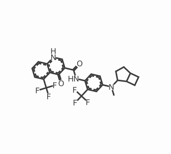 CN(c1ccc(NC(=O)c2c[nH]c3cccc(C(F)(F)F)c3c2=O)c(C(F)(F)F)c1)C1CCC2CCC21